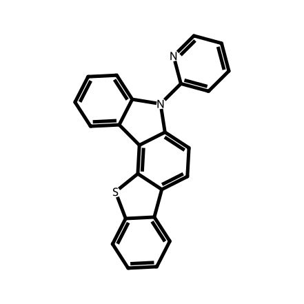 c1ccc(-n2c3ccccc3c3c4sc5ccccc5c4ccc32)nc1